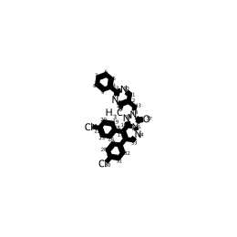 Cc1nc(-c2ccccc2)ncc1Cn1nc2c(-c3ccc(Cl)cc3)c(-c3ccc(Cl)cc3)cnn2c1=O